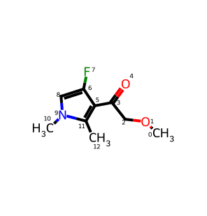 COCC(=O)c1c(F)cn(C)c1C